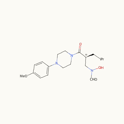 COc1ccc(N2CCN(C(=O)[C@@H](CC(C)C)CN(O)C=O)CC2)cc1